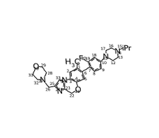 Cc1cc2c(cc1-c1ccc(N3CCN(C(C)C)CC3)cc1F)OCc1nc(CN3CCOCC3)cn1-2